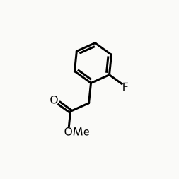 [CH2]OC(=O)Cc1ccccc1F